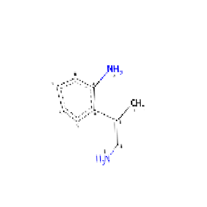 C/C(=C/N)c1ccccc1N